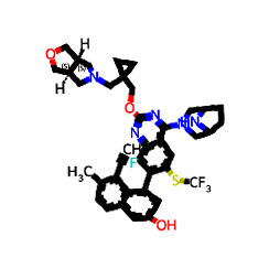 C#Cc1c(C)ccc2cc(O)cc(-c3c(SC(F)(F)F)cc4c(N5CC6CCC(C5)N6)nc(OCC5(CN6C[C@H]7COC[C@@H]7C6)CC5)nc4c3F)c12